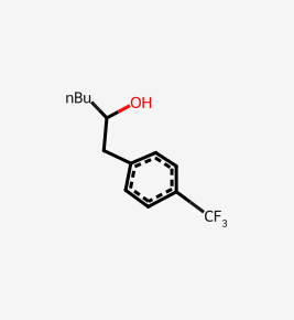 CCCCC(O)Cc1ccc(C(F)(F)F)cc1